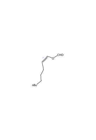 CCCCCCC/C=C\O[C]=O